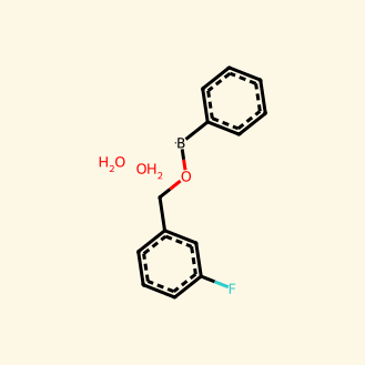 Fc1cccc(CO[B]c2ccccc2)c1.O.O